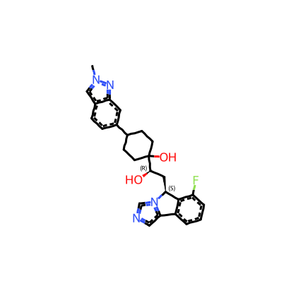 Cn1cc2ccc(C3CCC(O)([C@H](O)C[C@H]4c5c(F)cccc5-c5cncn54)CC3)cc2n1